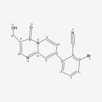 N#Cc1c(Br)cccc1-c1ccn2c(=O)c(CO)cnc2c1